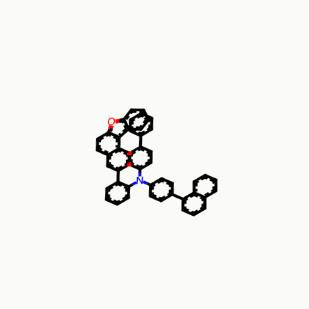 c1ccc(-c2ccc(N(c3ccc(-c4cccc5ccccc45)cc3)c3ccccc3-c3ccc4c(ccc5oc6ccccc6c54)c3)cc2)cc1